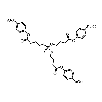 CCCCCCCCc1ccc(OC(=O)CCCOP(=S)(SCCCC(=O)Oc2ccc(CCCCCCCC)cc2)SCCCC(=O)Oc2ccc(CCCCCCCC)cc2)cc1